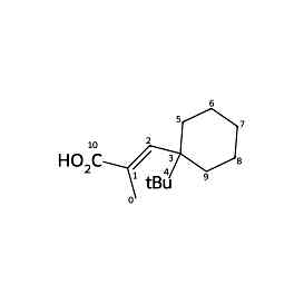 C/C(=C\C1(C(C)(C)C)CCCCC1)C(=O)O